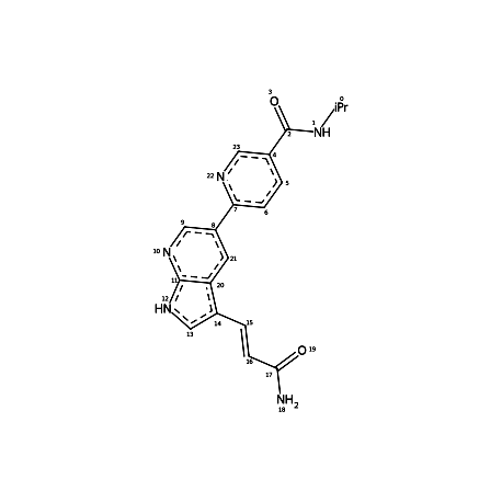 CC(C)NC(=O)c1ccc(-c2cnc3[nH]cc(/C=C/C(N)=O)c3c2)nc1